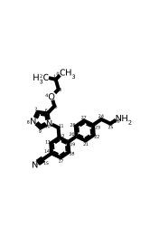 CC(C)COCc1cncn1Cc1cc(C#N)ccc1-c1ccc(CCN)cc1